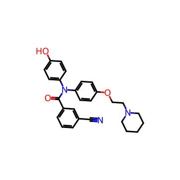 N#Cc1cccc(C(=O)N(c2ccc(O)cc2)c2ccc(OCCN3CCCCC3)cc2)c1